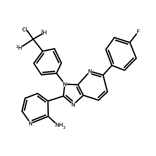 [2H]C([2H])(Cl)c1ccc(-n2c(-c3cccnc3N)nc3ccc(-c4ccc(F)cc4)nc32)cc1